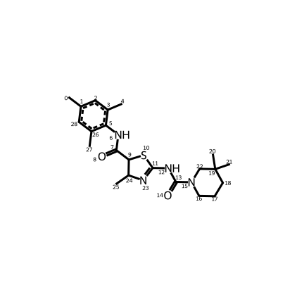 Cc1cc(C)c(NC(=O)C2SC(NC(=O)N3CCCC(C)(C)C3)=NC2C)c(C)c1